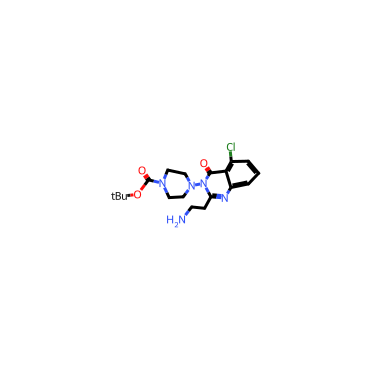 CC(C)(C)OC(=O)N1CCN(n2c(CCN)nc3cccc(Cl)c3c2=O)CC1